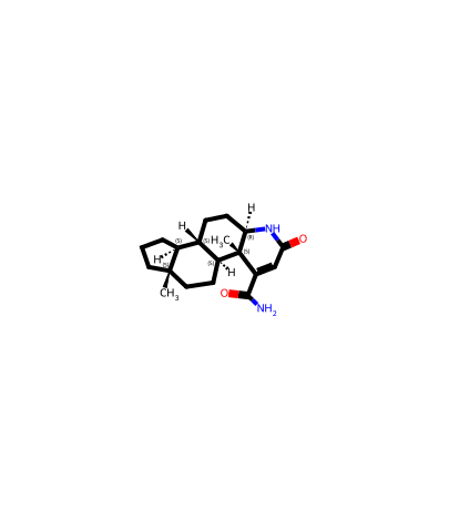 C[C@@]12CCC[C@H]1[C@@H]1CC[C@H]3NC(=O)C=C(C(N)=O)[C@]3(C)[C@H]1CC2